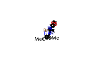 COc1ccc(CNc2nccc3c2c(Br)nn3C2CCC3(CC2)OCCO3)c(OC)c1